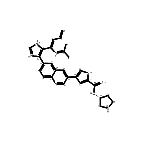 C=C/C=C(\N=C(C)C)c1[nH]cnc1-c1ccc2ncc(-c3csc(C(=O)O[C@@H]4CCNC4)c3)cc2c1